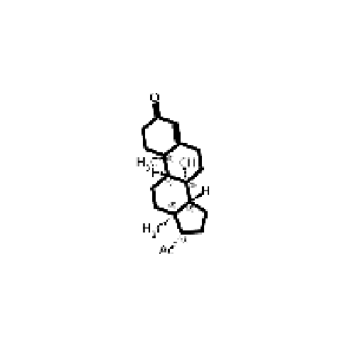 CC(=O)[C@H]1CC[C@@H]2[C@]1(C)CC[C@H]1[C@@]2(C)CCC2=CC(=O)CC[C@@]21C